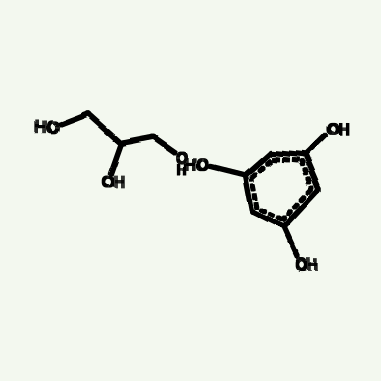 OCC(O)CO.Oc1cc(O)cc(O)c1